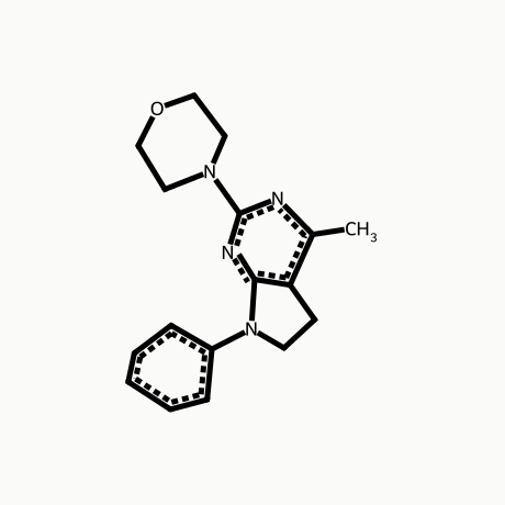 Cc1nc(N2CCOCC2)nc2c1CCN2c1ccccc1